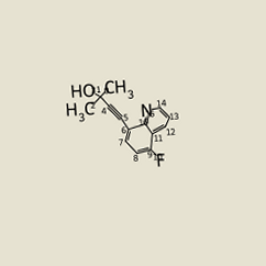 CC(C)(O)C#Cc1ccc(F)c2cccnc12